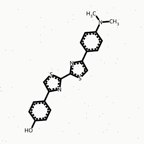 CN(C)c1ccc(-c2csc(-c3nc(-c4ccc(O)cc4)cs3)n2)cc1